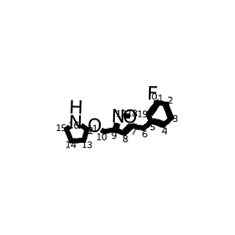 Fc1cccc(Cc2cc(CO[C@H]3CCCN3)no2)c1